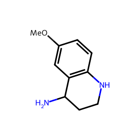 COc1ccc2c(c1)C(N)CCN2